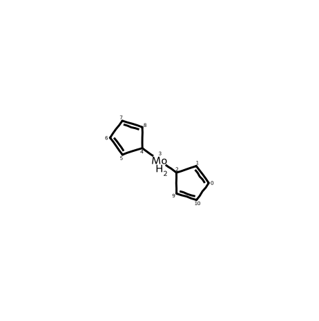 C1=C[CH]([MoH2][CH]2C=CC=C2)C=C1